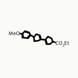 CCOC(=O)C1CC=C(C2=CCC(c3ccc(OC)cc3)CC2)CC1